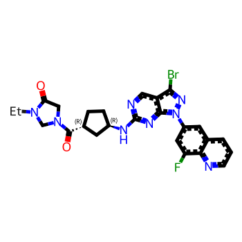 CCN1CN(C(=O)[C@@H]2CC[C@@H](Nc3ncc4c(Br)nn(-c5cc(F)c6ncccc6c5)c4n3)C2)CC1=O